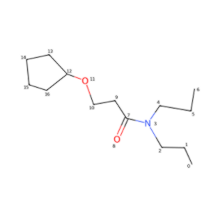 CCCN(CCC)C(=O)CCOC1CCCC1